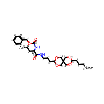 CNCCCC1OCC2(CO1)COC(CCCNC(=O)C(CCC(C)=O)NC(=O)OCc1ccccc1)OC2